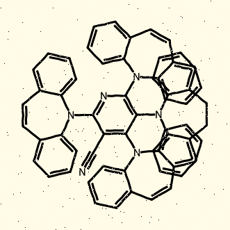 N#Cc1c(N2c3ccccc3C=Cc3ccccc32)nc(N2c3ccccc3C=Cc3ccccc32)c(N2c3ccccc3CCc3ccccc32)c1N1c2ccccc2C=Cc2ccccc21